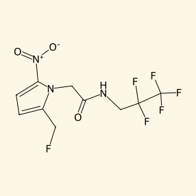 O=C(Cn1c(CF)ccc1[N+](=O)[O-])NCC(F)(F)C(F)(F)F